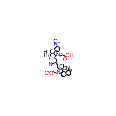 [C-]#[N+]c1ccc2c(c1)C(C)(C)C(/C=C/C(C#N)=C/C=C1/N(CCOC=O)c3ccc4ccccc4c3C1(C)C)=[N+]2CCC(=O)O